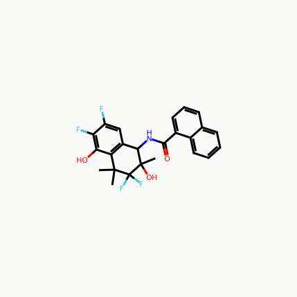 CC1(C)c2c(cc(F)c(F)c2O)C(NC(=O)c2cccc3ccccc23)C(C)(O)C1(F)F